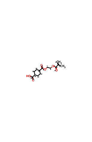 C=C(C)C(=O)OCCOC(=O)C1CCC(C(=O)O)CC1